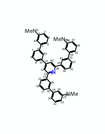 CNc1cccc(-c2cccc(-c3cc(-c4cccc(-c5cccc(NC)c5)c4)nc(-c4cccc(-c5cccc(NC)c5)c4)c3)c2)c1